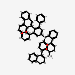 CC1C=CC(c2ccccc2N(c2ccc(C3=CCCc4ccccc43)cc2)c2cc(-c3ccccc3)c(-c3cc4ccccc4c4ccccc34)c(-c3ccccc3)c2)=CC1